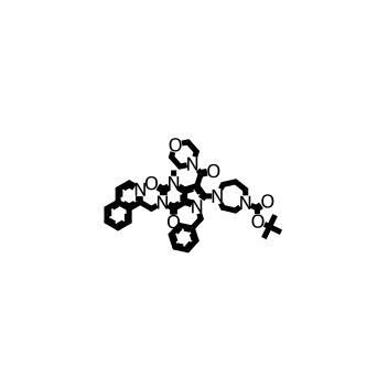 Cn1c(=O)n(Cc2nccc3ccccc23)c(=O)c2c1c(C(=O)N1CCOCC1)c(N1CCCN(C(=O)OC(C)(C)C)CC1)n2Cc1ccccc1